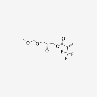 C=C(C(=O)OCC(=O)COCOC)C(F)(F)F